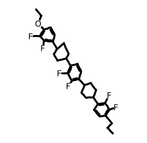 CCCc1ccc(C2CCC(c3ccc(C4CCC(c5ccc(OCC)c(F)c5F)CC4)c(F)c3F)CC2)c(F)c1F